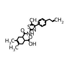 C=CCc1ccc(-c2nc(NC(=O)C3CC(C)=C(C)CC3C(=O)O)sc2C)cc1